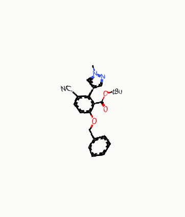 Cn1cc(-c2c(C#N)ccc(OCc3ccccc3)c2C(=O)OC(C)(C)C)cn1